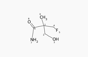 CC(CO)(CF)C(N)=O